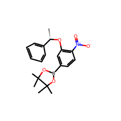 C[C@H](Oc1cc(B2OC(C)(C)C(C)(C)O2)ccc1[N+](=O)[O-])c1ccccc1